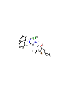 Cc1cc(C(=O)CCN2CCN(c3cccc4ccccc34)CC2)c(C)s1.Cl